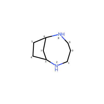 C1CNC2CCC(C2)NC1